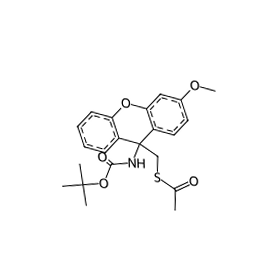 COc1ccc2c(c1)Oc1ccccc1C2(CSC(C)=O)NC(=O)OC(C)(C)C